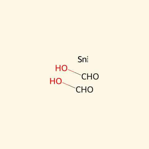 O=CO.O=CO.[Sn]